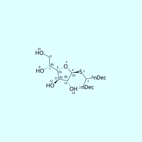 CCCCCCCCCCC(CCCCCCCCCC)S[C@@H]1O[C@@H]([C@H](O)CO)[C@H](O)[C@H]1O